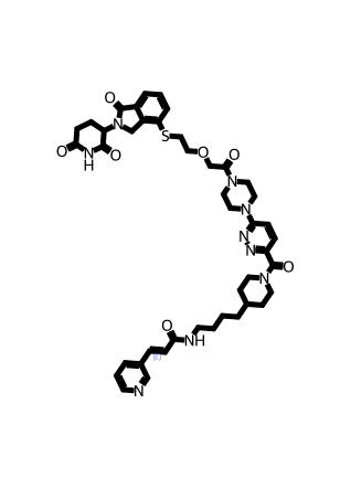 O=C(/C=C/c1cccnc1)NCCCCC1CCN(C(=O)c2ccc(N3CCN(C(=O)COCCSc4cccc5c4CN(C4CCC(=O)NC4=O)C5=O)CC3)nn2)CC1